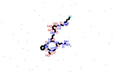 N=C(N)NCCC[C@@H]1NC(=O)[C@H](CCCCNC(=O)C2O[C@H](CNC(=O)Cn3cc(CCC[18F])nn3)[C@H](O)C(O)[C@@H]2O)NC(=O)N(Cc2ccccc2)NC(=O)[C@H](CC(=O)O)NC(=O)CNC1=O